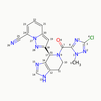 Cn1nc(Cl)nc1C(=O)N1CCc2[nH]cnc2[C@H]1c1cc2cccc(C#N)n2n1